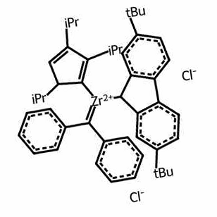 CC(C)C1=CC(C(C)C)[C]([Zr+2](=[C](c2ccccc2)c2ccccc2)[CH]2c3cc(C(C)(C)C)ccc3-c3ccc(C(C)(C)C)cc32)=C1C(C)C.[Cl-].[Cl-]